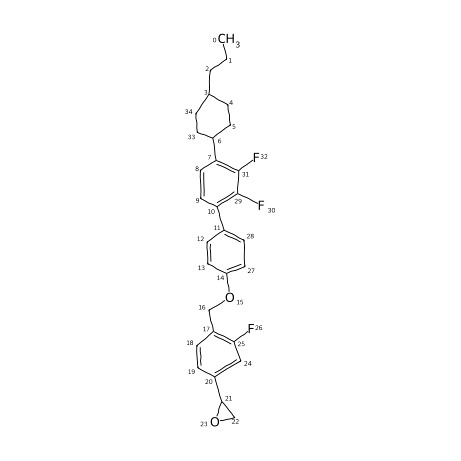 CCCC1CCC(c2ccc(-c3ccc(OCc4ccc(C5CO5)cc4F)cc3)c(F)c2F)CC1